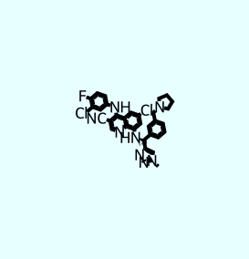 Cn1cc([C@@H](Nc2cc(Cl)cc3c(Nc4ccc(F)c(Cl)c4)c(C#N)cnc23)c2cccc(CN3CCCC3)c2)nn1